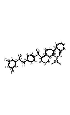 CN(C)C1C=c2ccccc2=c2ccc3c(c21)CCCC=3C(=O)c1ccc(NC(=O)c2cc(F)cc(F)c2)cc1